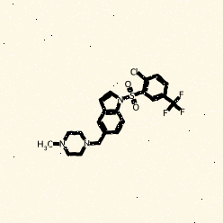 CN1CCN(Cc2ccc3c(ccn3S(=O)(=O)c3cc(C(F)(F)F)ccc3Cl)c2)CC1